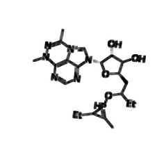 CCC(C[C@H]1O[C@H](n2c[n+]3c4c(ncnc42)N(C)N=C3C)[C@H](O)C1O)O[PH]1=C(C)C1CC